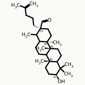 C=C(C)CCC[C@]1(C=O)CC[C@]2(C)C(CCC3[C@@]4(C)CC[C@H](O)C(C)(C)C4CC[C@]32C)C1C